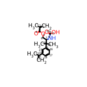 C=C(C)C(=O)OCC(NC(=O)O)C(C)(C)c1cccc(C(=C)C)c1